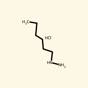 CCCCCCNN.Cl